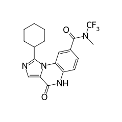 CN(C(=O)c1ccc2[nH]c(=O)c3cnc(C4CCCCC4)n3c2c1)C(F)(F)F